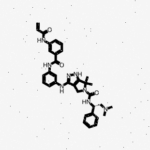 C=CC(=O)Nc1cccc(C(=O)Nc2cccc(Nc3n[nH]c4c3CN(C(=O)N[C@H](CN(C)C)c3ccccc3)C4(C)C)c2)c1